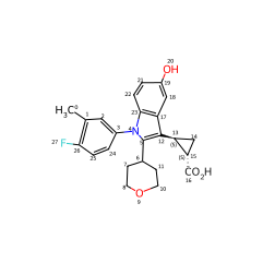 Cc1cc(-n2c(C3CCOCC3)c([C@H]3C[C@@H]3C(=O)O)c3cc(O)ccc32)ccc1F